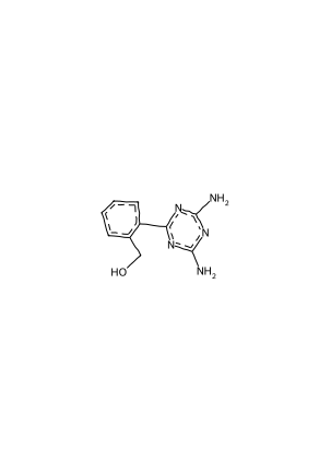 Nc1nc(N)nc(-c2ccccc2CO)n1